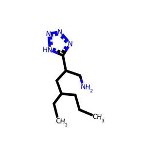 CCCC(CC)CC(CN)c1nnn[nH]1